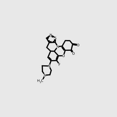 CN1CCN(C2=CC3Cc4cnsc4N4C5=C(OC(=C2F)C34)C(=O)C(=O)CC5)CC1